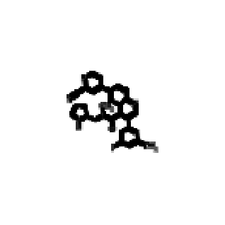 Cc1cc(F)cc(-c2cnc3ccc(-c4ccnc(C#N)c4)cc3c2C(=O)N(C)C[C@@H]2CCCN2)c1